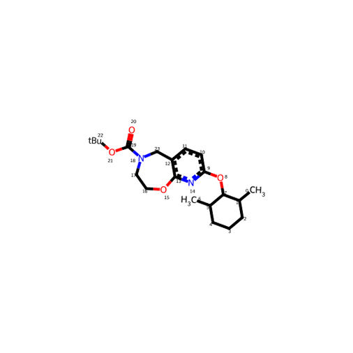 CC1CCCC(C)C1Oc1ccc2c(n1)OCCN(C(=O)OC(C)(C)C)C2